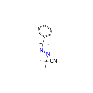 CC(C)(C#N)N=NC(C)(C)c1ccccc1